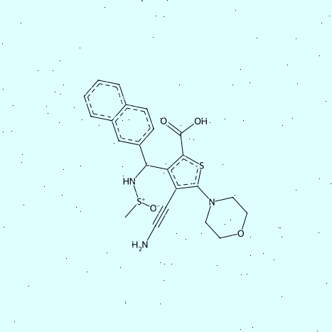 C[S+]([O-])NC(c1ccc2ccccc2c1)c1c(C(=O)O)sc(N2CCOCC2)c1C#CN